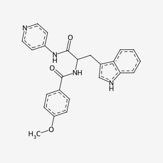 COc1ccc(C(=O)NC(Cc2c[nH]c3ccccc23)C(=O)Nc2ccncc2)cc1